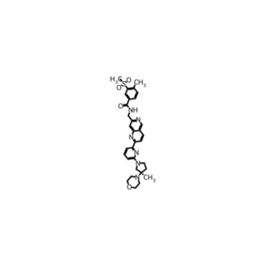 Cc1ccc(C(=O)NCc2cc3nc(-c4cccc(N5CC[C@](C)(N6CCOCC6)C5)n4)ccc3cn2)cc1S(C)(=O)=O